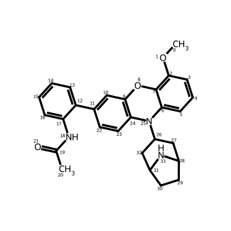 COc1cccc2c1Oc1cc(-c3ccccc3NC(C)=O)ccc1N2C1CC2CCC(C1)N2